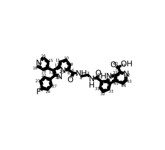 O=C(NCCNC(=O)c1cccc2c(-c3ccncc3)c(-c3ccc(F)cc3)nn12)c1cccc2c1[nH]c1c(C(=O)O)nccc12